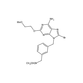 COCCOc1nc(N)c2nc(Br)n(Cc3cccc(CN(C)O)c3)c2n1